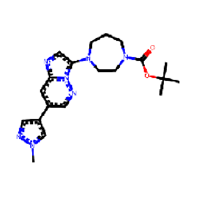 Cn1cc(-c2cnn3c(N4CCCN(C(=O)OC(C)(C)C)CC4)cnc3c2)cn1